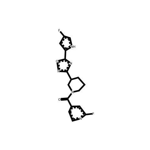 O=C(c1ccnc(F)c1)N1CCCC(c2noc(-c3cc(F)c[nH]3)n2)C1